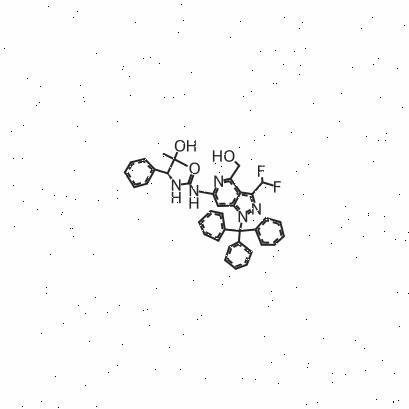 CC(C)(O)[C@@H](NC(=O)Nc1cc2c(c(CO)n1)c(C(F)F)nn2C(c1ccccc1)(c1ccccc1)c1ccccc1)c1ccccc1